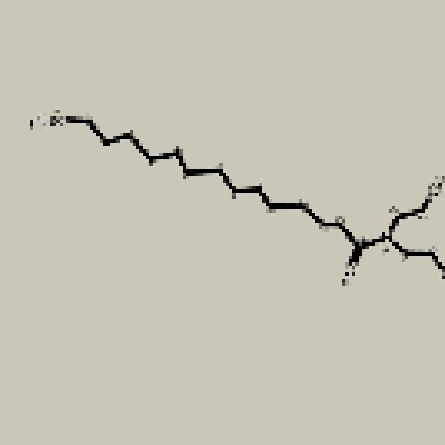 CCCCCCCCCCCCCCCCCCCCCCCC(=O)N(CCO)CCO